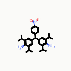 CC(C)c1cc(C(c2ccc([N+](=O)[O-])cc2)c2cc(C(C)C)c(N)c(C(C)C)c2)cc(C(C)C)c1N